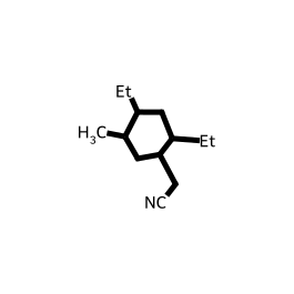 CCC1CC(CC)C(CC#N)CC1C